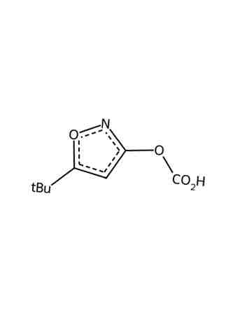 CC(C)(C)c1cc(OC(=O)O)no1